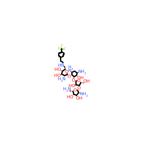 NC[C@@H]1O[C@H](O[C@H]2[C@@H](O)[C@H](O[C@@H]3[C@@H](O)[C@H](N)C[C@H](N)[C@H]3O[C@H]3O[C@H](CNCCc4ccc(C(F)(F)F)cc4)[C@@H](O)[C@H](O)[C@H]3N)O[C@@H]2CO)[C@H](N)[C@@H](O)[C@@H]1O